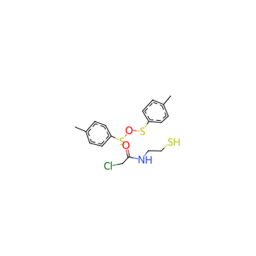 Cc1ccc(SOSc2ccc(C)cc2)cc1.O=C(CCl)NCCS